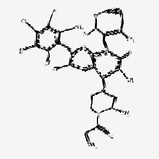 C=CC(=O)N1CCN(c2c(C#N)c(=O)n(C3=C(C)C=CNC3C(C)C)c3nc(-c4c(N)c(F)c(Cl)c(Cl)c4Cl)c(Cl)cc23)C[C@H]1C